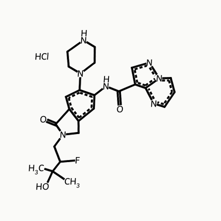 CC(C)(O)C(F)CN1Cc2cc(NC(=O)c3cnn4cccnc34)c(N3CCNCC3)cc2C1=O.Cl